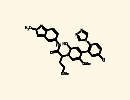 COCCC(C(=O)Nc1ccc2nn(C)cc2c1)N1C=C(OC)C(c2cc(Cl)ccc2-n2cnnc2)=CC1O